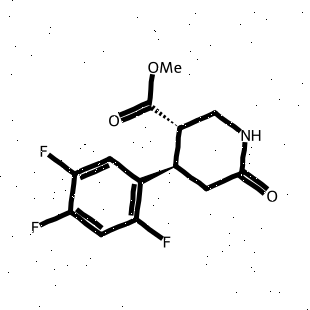 COC(=O)[C@@H]1CNC(=O)C[C@H]1c1cc(F)c(F)cc1F